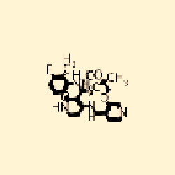 COC(C)(C)COc1cnccc1CNC1=C(C(=S)Nc2cccc(F)c2C)C(=O)NCC1